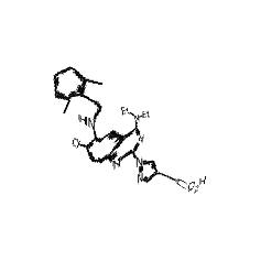 CCN(CC)c1nc(-n2cc(C(=O)O)cn2)nc2cc(Cl)c(NCc3c(C)cccc3C)cc12